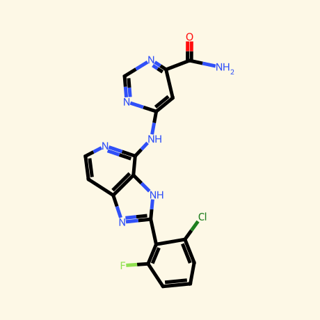 NC(=O)c1cc(Nc2nccc3nc(-c4c(F)cccc4Cl)[nH]c23)ncn1